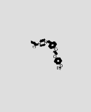 C=CC(=O)N1CCN(Cc2ccc(OCCOc3ccc(OCC)cc3)cc2)CC1